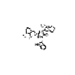 COc1cccc(COC(=O)N[C@@H](Cc2c[nH]c3ccccc23)C(=O)N[C@](C)(Cc2ccccc2)C(N)=O)c1OC